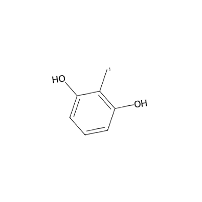 [CH]c1c(O)cccc1O